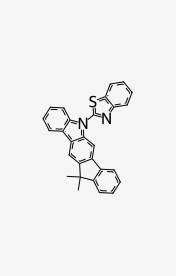 CC1(C)c2ccccc2-c2cc3c(cc21)c1ccccc1n3-c1nc2ccccc2s1